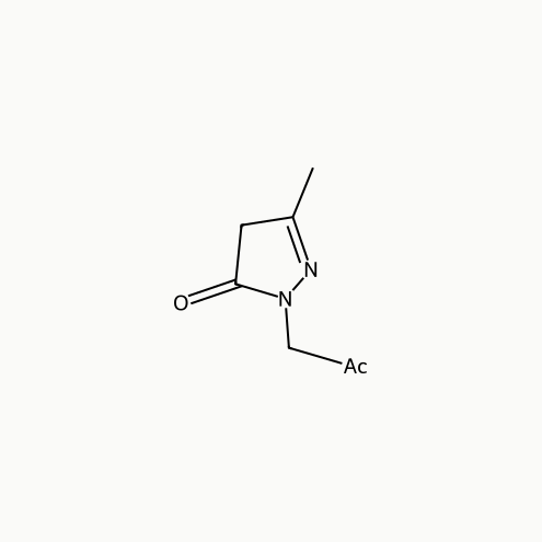 CC(=O)CN1N=C(C)CC1=O